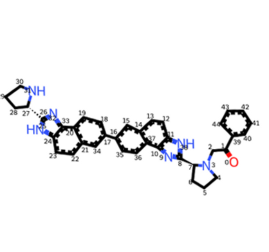 O=C(CN1CCC[C@H]1c1nc2c(ccc3cc(-c4ccc5c(ccc6[nH]c([C@@H]7CCCN7)nc65)c4)ccc32)[nH]1)c1ccccc1